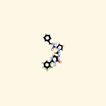 O=C(NCc1ccccc1)[C@H]1CCCN1c1nc2c(=O)[nH]c(-c3cccc(F)c3F)nc2s1